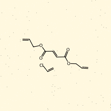 C=CCOC(=O)C=CC(=O)OCC=C.C=CCl